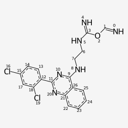 N=COC(=N)NCCNc1nc(-c2ccc(Cl)cc2Cl)nc2ccccc12